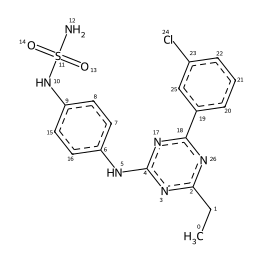 CCc1nc(Nc2ccc(NS(N)(=O)=O)cc2)nc(-c2cccc(Cl)c2)n1